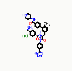 Cc1ccc(C[C@H](NC(=O)[C@H]2CC[C@H](CN)CC2)C(=O)Nc2ccc(-c3nnn[nH]3)cc2)cc1-c1ccc(C(=O)NC2CCNCC2)cc1.Cl